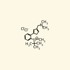 C[O][Ti+2]([c]1ccccc1C1=CC(CN(C)C)=CC1)[C](C)(C)C.[Cl-].[Cl-]